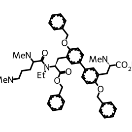 CCN(C(=O)C(CCCNC)NC)[C@@H](Cc1cc(-c2ccc(OCc3ccccc3)c(C[C@H](NC)C(=O)O)c2)ccc1OCc1ccccc1)C(=O)OCc1ccccc1